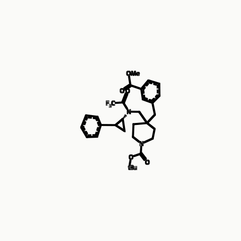 COC(=O)c1cccc(CC2(CN(C(=O)C(F)(F)F)[C@@H]3CC3c3ccccc3)CCN(C(=O)OC(C)(C)C)CC2)c1